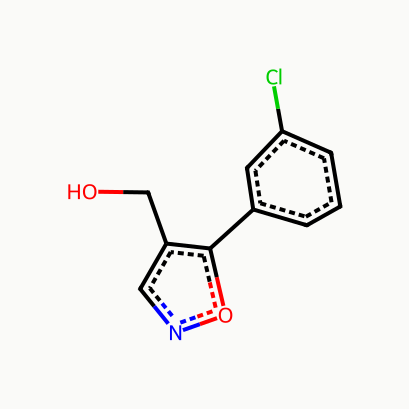 OCc1cnoc1-c1cccc(Cl)c1